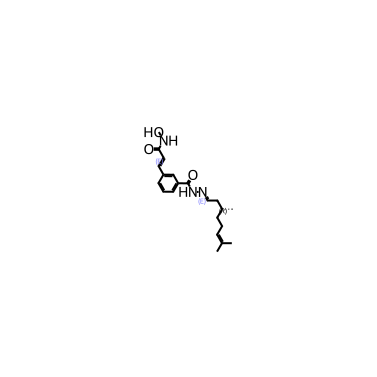 CC(C)=CCC[C@@H](C)C/C=N/NC(=O)c1cccc(/C=C/C(=O)NO)c1